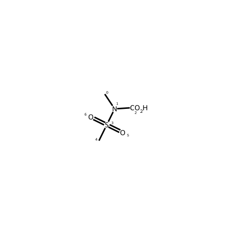 CN(C(=O)O)S(C)(=O)=O